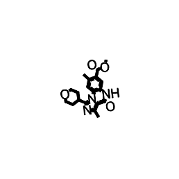 COC(=O)c1cc2[nH]c(=O)c3c(C)nc(C4CCOCC4)n3c2cc1C